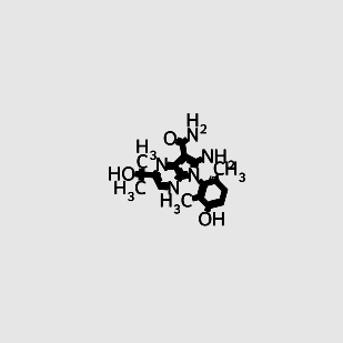 CC1=C(n2c(N)c(C(N)=O)c3nc(C(C)(C)O)cnc32)[C@H](C)CC=C1O